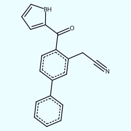 N#CCc1cc(-c2ccccc2)ccc1C(=O)C1=CC=CB1